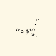 O.O.O.[Ce].[La].[Y].[Zr]